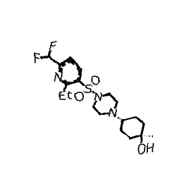 CCc1nc(C(F)F)ccc1S(=O)(=O)N1CCN([C@H]2CC[C@](C)(O)CC2)CC1